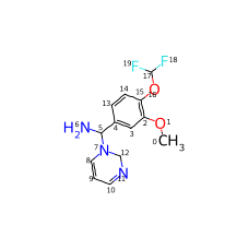 COc1cc(C(N)N2C=CC=NC2)ccc1OC(F)F